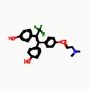 CN(C)CCOc1ccc(/C(=C(/c2ccc(O)cc2)C(F)(F)F)c2ccc(O)cc2)cc1